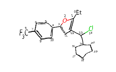 CCc1oc(-c2ccc(C(F)(F)F)cc2)cc1C(Cl)C1CCCCC1